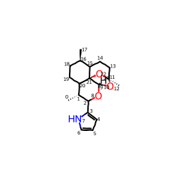 C[C@H]1C(c2ccc[nH]2)O[C@@H]2O[C@]3(C)CCC4[C@H](C)CCC1[C@]42O3